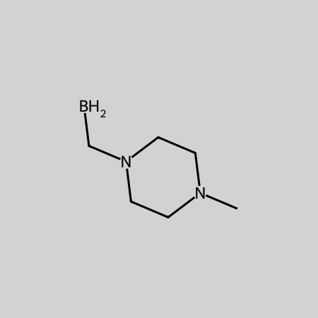 BCN1CCN(C)CC1